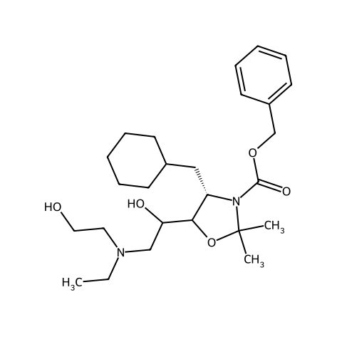 CCN(CCO)CC(O)C1OC(C)(C)N(C(=O)OCc2ccccc2)[C@H]1CC1CCCCC1